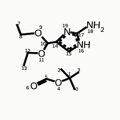 CC(C)(C)OC=O.CCOC(OCC)c1c[nH]c(N)n1